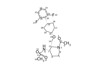 CC(=O)N1CCC[C@H](NS(C)(=O)=O)[C@@H]1CO[C@H]1CC[C@@H](c2c(F)cccc2F)CC1